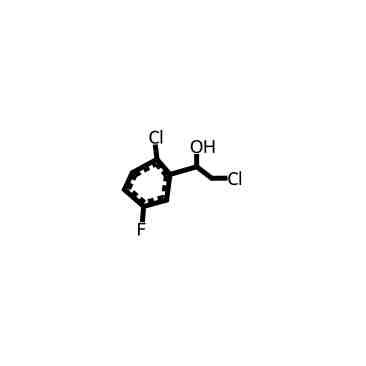 OC(CCl)c1cc(F)ccc1Cl